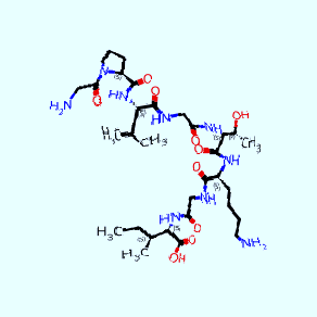 CC[C@H](C)[C@H](NC(=O)CNC(=O)[C@H](CCCCN)NC(=O)[C@@H](NC(=O)CNC(=O)[C@@H](NC(=O)[C@@H]1CCCN1C(=O)CN)C(C)C)[C@@H](C)O)C(=O)O